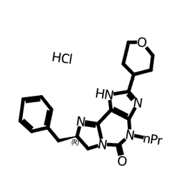 CCCN1C(=O)N2C[C@@H](Cc3ccccc3)N=C2c2[nH]c(C3CCOCC3)nc21.Cl